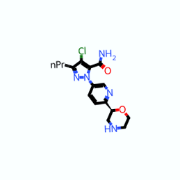 CCCc1nn(-c2ccc([C@@H]3CNCCO3)nc2)c(C(N)=O)c1Cl